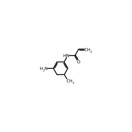 C=CC(=O)NC1=CC(C)CC(N)=C1